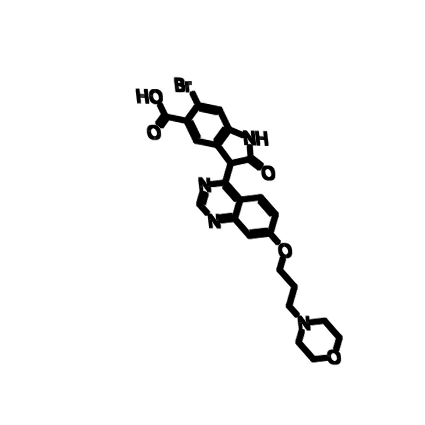 O=C(O)c1cc2c(cc1Br)NC(=O)C2c1ncnc2cc(OCCCN3CCOCC3)ccc12